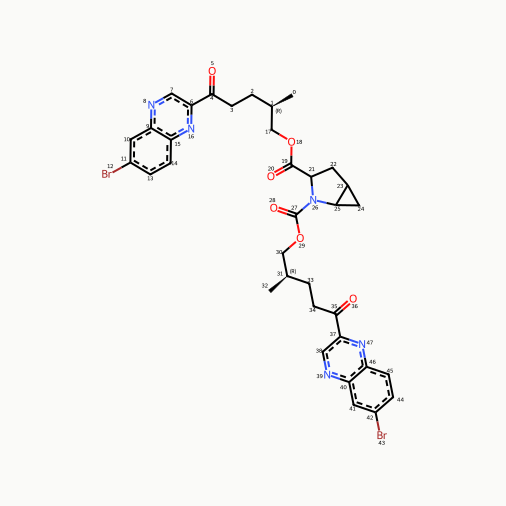 C[C@H](CCC(=O)c1cnc2cc(Br)ccc2n1)COC(=O)C1CC2CC2N1C(=O)OC[C@H](C)CCC(=O)c1cnc2cc(Br)ccc2n1